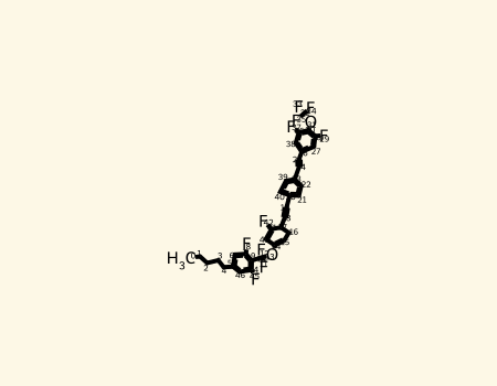 CCCCCc1cc(F)c(C(F)(F)OC2=CCC(C#Cc3ccc(C#Cc4cc(F)c(OC(F)(F)F)c(F)c4)cc3)C(F)=C2)c(F)c1